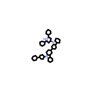 C1CCC(C2CCC(N3C4CCCCC4C4CC(C5CCC6C7CCCCC7N(C7CC(C8CCCCC8)NC(C8CCCCC8)C7)C6C5)CCC43)CC2)CC1